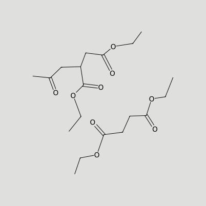 CCOC(=O)CC(CC(C)=O)C(=O)OCC.CCOC(=O)CCC(=O)OCC